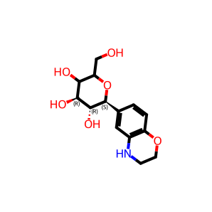 OCC1O[C@@H](c2ccc3c(c2)NCCO3)[C@H](O)[C@@H](O)C1O